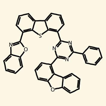 c1ccc(-c2nc(-c3cccc4c3sc3c(-c5nc6ccccc6o5)cccc34)nc(-c3cccc4oc5ccccc5c34)n2)cc1